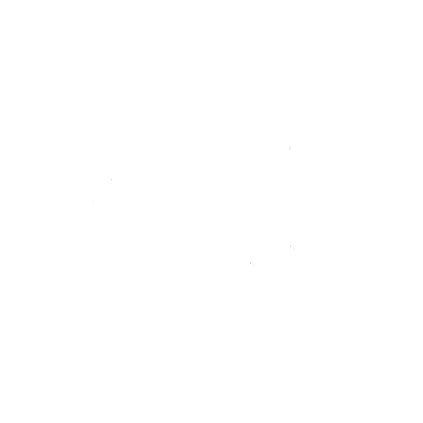 OCc1cccc(CN2CCN(Cc3ccc(-c4ccc(C(O)(C(F)(F)F)C(F)(F)F)cc4)cc3)CC2)c1